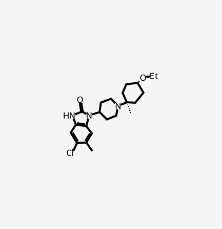 CCO[C@H]1CC[C@](C)(N2CCC(n3c(=O)[nH]c4cc(Cl)c(C)cc43)CC2)CC1